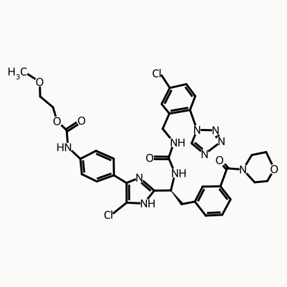 COCCOC(=O)Nc1ccc(-c2nc([C@H](Cc3cccc(C(=O)N4CCOCC4)c3)NC(=O)NCc3cc(Cl)ccc3-n3cnnn3)[nH]c2Cl)cc1